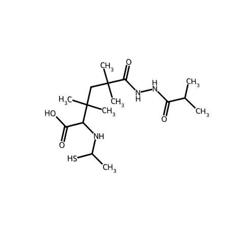 CC(S)NC(C(=O)O)C(C)(C)CC(C)(C)C(=O)NNC(=O)C(C)C